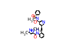 Cc1cc(C(=O)Nc2ccccc2C#Cc2cncc(C(=O)N=S(C)(=O)c3ccccc3)c2)n(C)n1